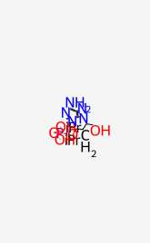 C=C(COC(C(C)C)(C(C)C)P(=O)(O)O)C(CO)n1cnc2c(N)ncnc21